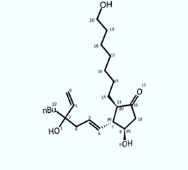 C=CC(O)(CC=C[C@H]1[C@H](O)CC(=O)[C@@H]1CCCCCCCO)CCCC